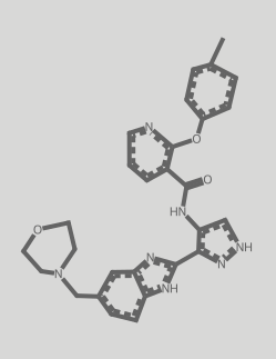 Cc1ccc(Oc2ncccc2C(=O)Nc2c[nH]nc2-c2nc3cc(CN4CCOCC4)ccc3[nH]2)cc1